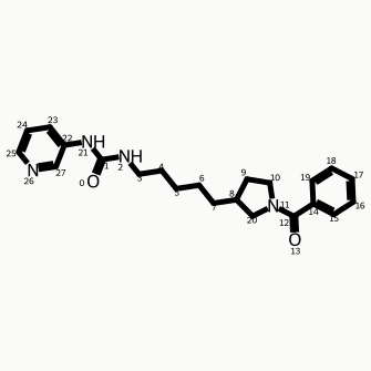 O=C(NCCCCCC1CCN(C(=O)c2ccccc2)C1)Nc1cccnc1